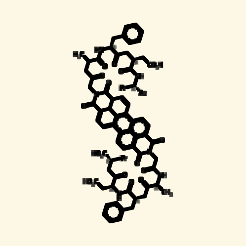 CC(=O)[C@@H](NC(=O)[C@H](CC(=O)O)CC(=O)[C@H](Cc1ccccc1)NC(=O)C(C)CC(=O)CN1C(=O)C2=CC=c3c4c(c5ccc6c7c(ccc3c57)C(=O)N(CC(=O)N[C@@H](C)C(=O)C[C@@H](Cc3ccccc3)C(=O)N[C@@H](CC(=O)O)C(=O)C[C@H](C(=O)O)C(C)C)C6=O)C=CC(C1=O)C24)C(C)C